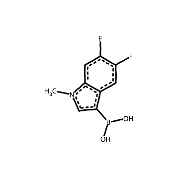 Cn1cc(B(O)O)c2cc(F)c(F)cc21